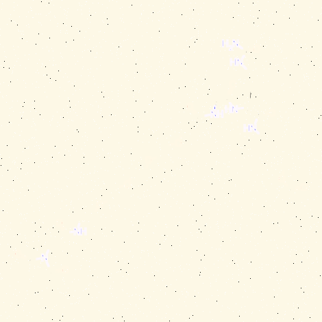 CC(=O)OCc1ccc(NC(=O)[C@H](CCCNC(N)=O)NC(=O)[C@@H](NC(=O)CCOCCOCCOCCOCCNC(=O)CCN2C(=O)C=CC2=O)C(C)C)cc1